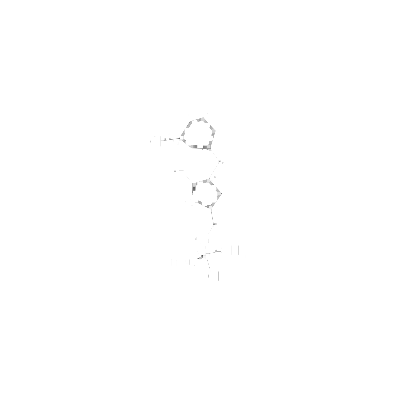 CCCC[Si](C)(C)OCc1cc(Cc2cccc(Cl)c2)c(F)s1